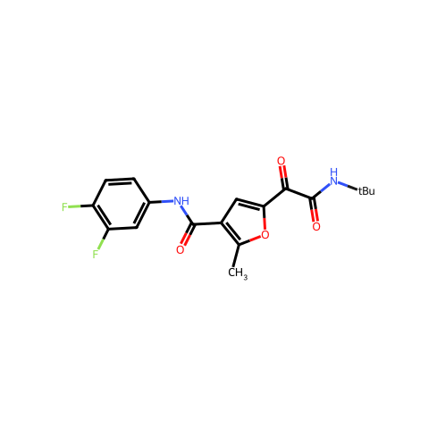 Cc1oc(C(=O)C(=O)NC(C)(C)C)cc1C(=O)Nc1ccc(F)c(F)c1